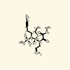 C=CCN(C(=O)C(=O)OCCC)P(=S)(SCC(C)C)N(CCC#CCC)S(=O)(=O)CCCC